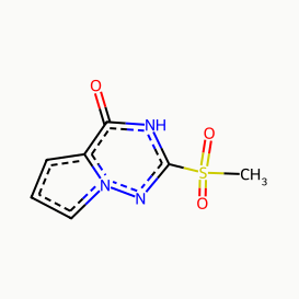 CS(=O)(=O)c1nn2cccc2c(=O)[nH]1